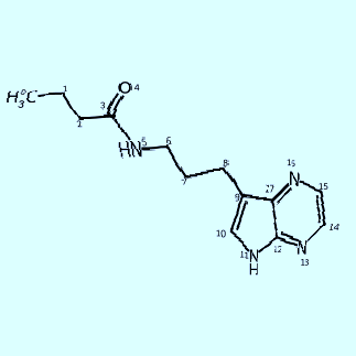 CCCC(=O)NCCCc1c[nH]c2nccnc12